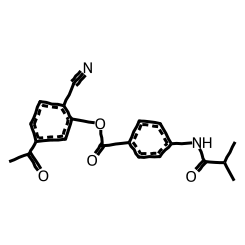 CC(=O)c1ccc(C#N)c(OC(=O)c2ccc(NC(=O)C(C)C)cc2)c1